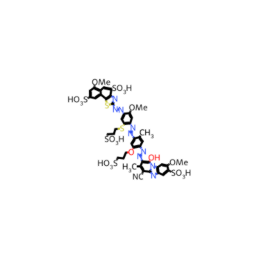 COc1cc(N=Nc2cc(OCCCS(=O)(=O)O)c(N=Nc3c(C)c(C#N)c4nc5cc(S(=O)(=O)O)c(OC)cc5n4c3O)cc2C)c(SCCCS(=O)(=O)O)cc1N=Nc1nc2c(S(=O)(=O)O)cc3c(OC)cc(S(=O)(=O)O)cc3c2s1